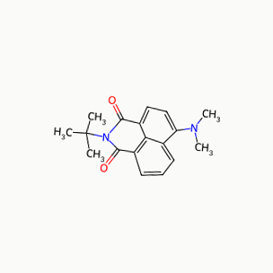 CN(C)c1ccc2c3c(cccc13)C(=O)N(C(C)(C)C)C2=O